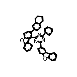 C1=Cc2ccc(-c3ccc4oc5ccccc5c4c3-c3nc(C4=CC5c6ccccc6OC5C=C4)nc(-c4ccccc4)n3)cc2CC1